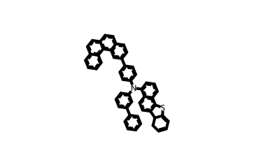 C1=CCC2C(=C1)Sc1c2ccc2c(N(c3ccc(-c4ccc5ccc6ccc7ccccc7c6c5c4)cc3)c3cccc(-c4ccccc4)c3)cccc12